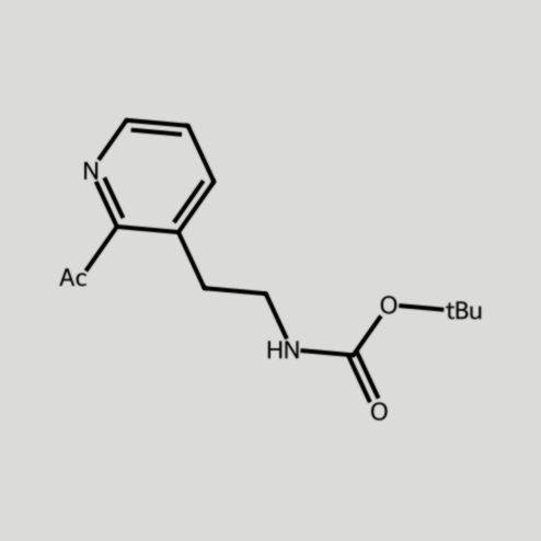 CC(=O)c1ncccc1CCNC(=O)OC(C)(C)C